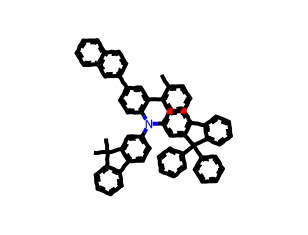 Cc1ccccc1-c1cc(-c2ccc3ccccc3c2)ccc1N(c1ccc2c(c1)C(C)(C)c1ccccc1-2)c1ccc2c(c1)C(c1ccccc1)(c1ccccc1)c1ccccc1-2